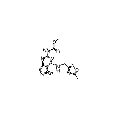 COC(=O)Nc1nc(NCc2noc(C)n2)c2[nH]ncc2n1